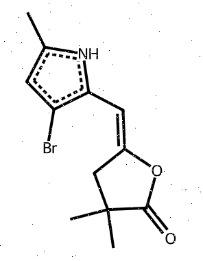 Cc1cc(Br)c(/C=C2\CC(C)(C)C(=O)O2)[nH]1